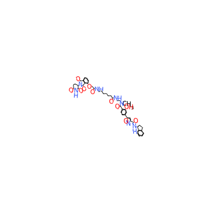 CN(CCNC(=O)CCCCCCNC(=O)COc1cccc2c1C(=O)N(C1CCC(=O)NC1=O)C2=O)C(=O)c1ccc(-c2cc(C(=O)N[C@@H]3CCc4ccccc43)no2)cc1O